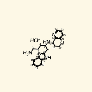 Cl.NCCCC(Cc1nc2ccccc2[nH]1)N[C@H]1CCOc2cccnc21